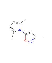 Cc1cc(-n2c(C)ccc2C)on1